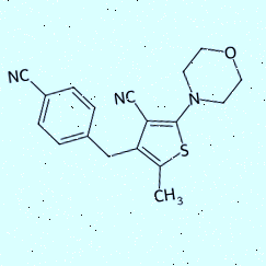 Cc1sc(N2CCOCC2)c(C#N)c1Cc1ccc(C#N)cc1